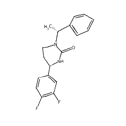 C[C@H](c1ccccc1)N1CCC(c2ccc(F)c(F)c2)NC1=O